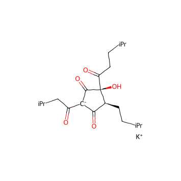 CC(C)CCC(=O)[C@@]1(O)C(=O)[C-](C(=O)CC(C)C)C(=O)[C@@H]1CCC(C)C.[K+]